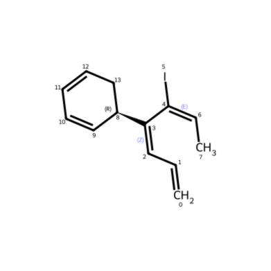 C=C/C=C(\C(I)=C/C)[C@H]1C=CC=CC1